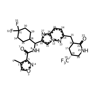 Cc1conc1C(=O)NC(c1cn2nc(CC3C[C@@H](C(F)(F)F)CNC3=O)ccc2n1)C1CCC(F)(F)CC1